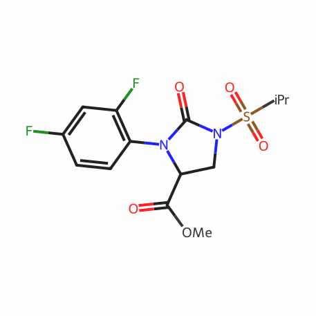 COC(=O)C1CN(S(=O)(=O)C(C)C)C(=O)N1c1ccc(F)cc1F